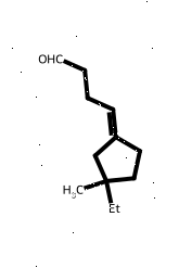 CCC1(C)CC/C(=C/CCC=O)C1